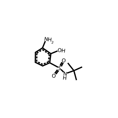 CC(C)(C)NS(=O)(=O)c1cccc(N)c1O